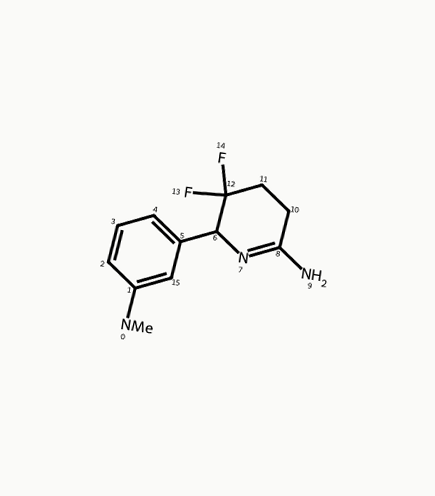 CNc1cccc(C2N=C(N)CCC2(F)F)c1